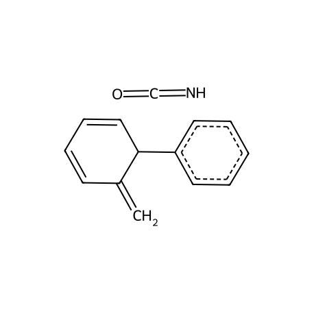 C=C1C=CC=CC1c1ccccc1.N=C=O